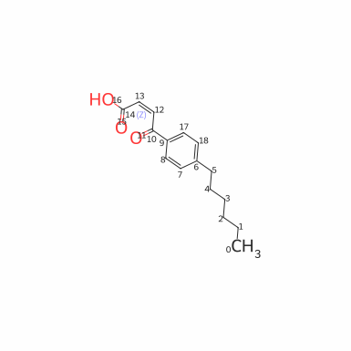 CCCCCCc1ccc(C(=O)/C=C\C(=O)O)cc1